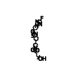 CC(C)(O)CCCS(=O)(=O)N1CC=C(c2ccc3nc(OC4CCN(c5ncc(F)cn5)CC4)sc3c2)CC1